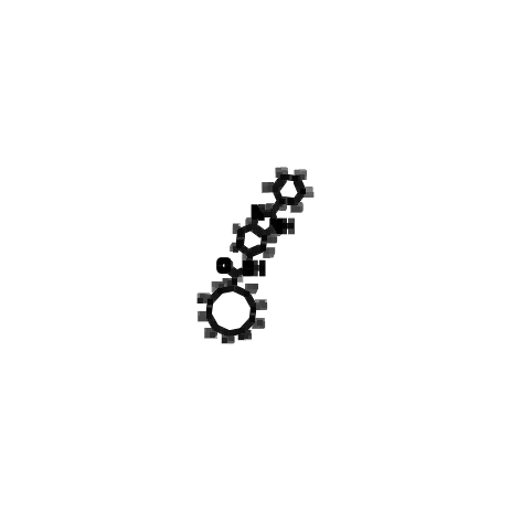 O=C(Bc1ccc2nc(-c3ccccc3)[nH]c2c1)C1CCCCCCCCC1